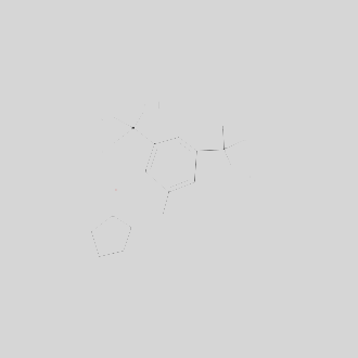 CC(C)(C)c1cc(C[C@@H]2CCC[C@@H]2O)cc(C(C)(C)C)c1